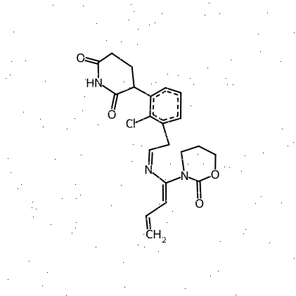 C=C/C=C(\N=C/Cc1cccc(C2CCC(=O)NC2=O)c1Cl)N1CCCOC1=O